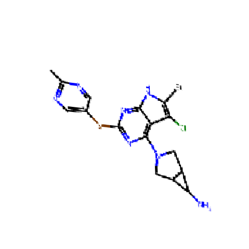 CCc1[nH]c2nc(Sc3cnc(C)nc3)nc(N3CC4C(N)C4C3)c2c1Cl